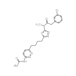 CCc1cccc(CC(=O)N(C)c2nnc(CCCCc3ccc(NC(=O)C(C)(C)C)nn3)s2)c1